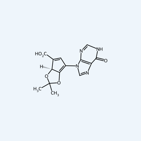 CC1(C)OC2=C(n3cnc4c(=O)[nH]cnc43)C=C(C(=O)O)[C@@H]2O1